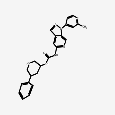 Cc1cc(-n2ncc3cc(NC(=O)NC4CNCC(c5ccccc5)C4)ncc32)ccn1